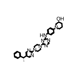 C[C@H](c1ccccc1)c1cnc(N2CCN(c3ncnc(Nc4ccc(N5CCC[C@@H](O)C5)cc4)n3)CC2)nc1